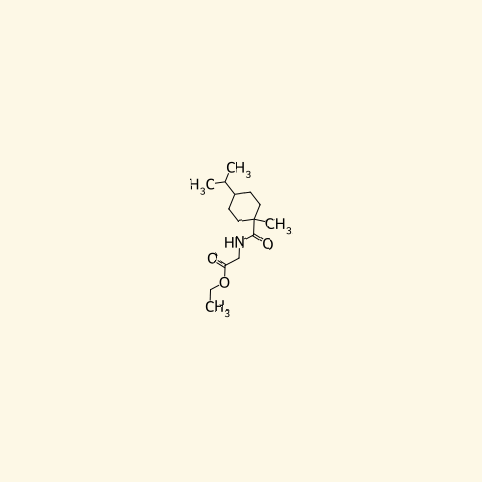 CCOC(=O)CNC(=O)C1(C)CCC(C(C)C)CC1